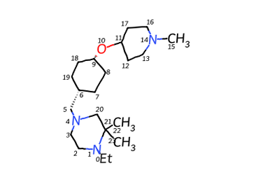 CCN1CCN(C[C@H]2CC[C@@H](OC3CCN(C)CC3)CC2)CC1(C)C